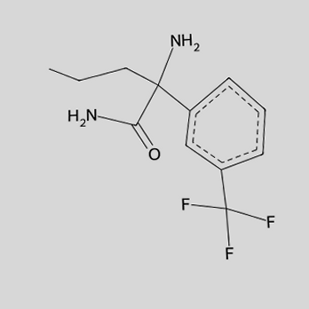 CCCC(N)(C(N)=O)c1cccc(C(F)(F)F)c1